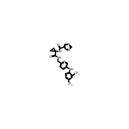 O=C(NC1(C(=O)NCc2ccc(Nc3ccc(C(F)(F)F)cc3C(F)(F)F)cn2)CC1)c1cncnc1